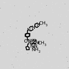 CN1CCC(N2CCN(Cc3ccc(C(=O)NN(CC4CCCC4)c4nc(N)nc5c4ncn5C)cc3)CC2)CC1